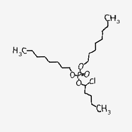 CCCCCCCCOP(=O)(OCCCCCCCC)OC(Cl)CCCC